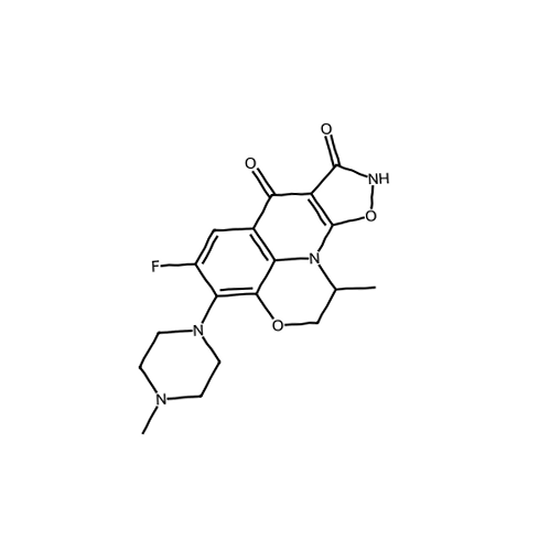 CC1COc2c(N3CCN(C)CC3)c(F)cc3c(=O)c4c(=O)[nH]oc4n1c23